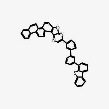 c1cc(-c2cccc(-c3cccc4c3sc3ccccc34)c2)cc(-c2cnc3c(n2)oc2ccc4c5ccc6ccccc6c5ccc4c23)c1